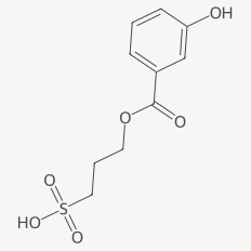 O=C(OCCCS(=O)(=O)O)c1cccc(O)c1